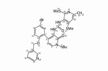 CCCCn1ccc(-c2cc(Br)ccc2OCc2cccnc2)c(NC(=O)Nc2c(SC)cc(C)nc2SC)c1=O